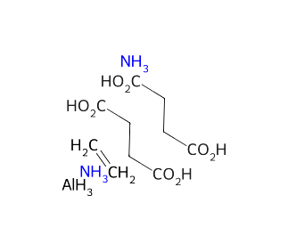 C=C.N.N.O=C(O)CCC(=O)O.O=C(O)CCC(=O)O.[AlH3]